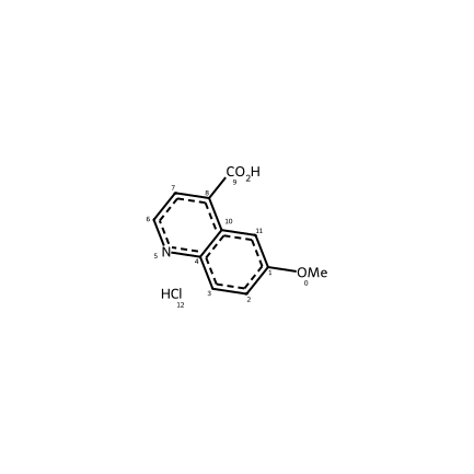 COc1ccc2nccc(C(=O)O)c2c1.Cl